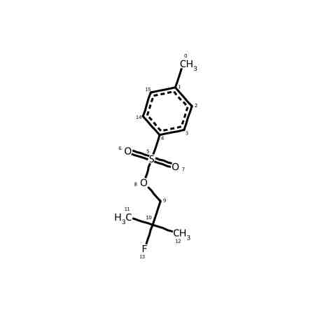 Cc1ccc(S(=O)(=O)OCC(C)(C)F)cc1